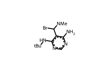 CNC(Br)c1c(N)ncnc1NC(C)(C)C